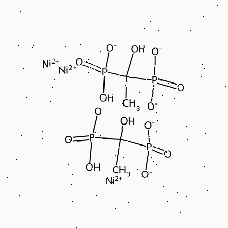 CC(O)(P(=O)([O-])[O-])P(=O)([O-])O.CC(O)(P(=O)([O-])[O-])P(=O)([O-])O.[Ni+2].[Ni+2].[Ni+2]